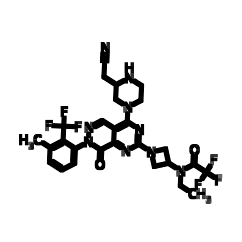 CCN(C(=O)C(F)(F)F)C1CN(c2nc(N3CCNC(CC#N)C3)c3cnn(-c4cccc(C)c4C(F)(F)F)c(=O)c3n2)C1